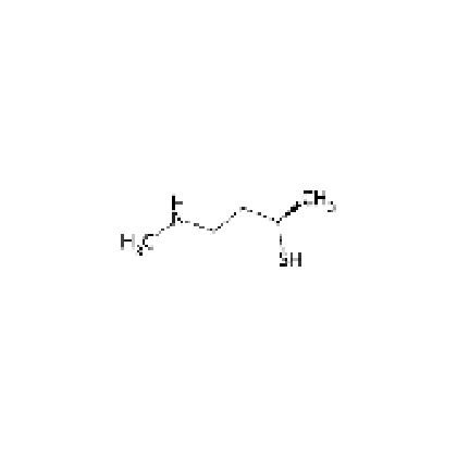 CNCC[C@@H](C)S